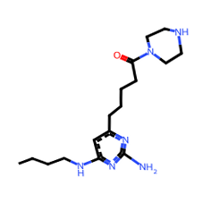 CCCCNc1cc(CCCCC(=O)N2CCNCC2)nc(N)n1